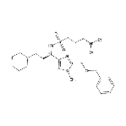 CCN(CC)CCCS(=O)(=O)N[C@H](CCC1CCCCC1)c1nc(COCc2ccccc2)n(C)n1